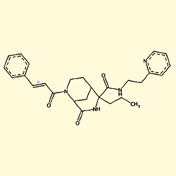 CCCC1(C(=O)NCCc2ccccn2)NC(=O)C2CC1CCN2C(=O)/C=C/c1ccccc1